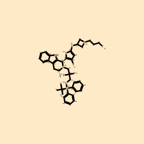 C[C@@H]1Cc2c([nH]c3ccccc23)[C@@H](c2sc(OC3CN(CCCF)C3)cc2F)N1CC(F)(F)CO[Si](c1ccccc1)(c1ccccc1)C(C)(C)C